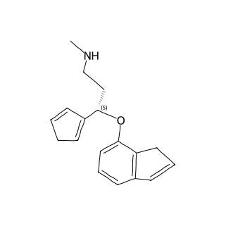 CNCC[C@H](Oc1cccc2c1CC=C2)C1=CCC=C1